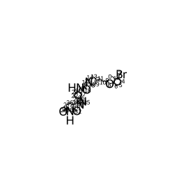 Cc1c(Br)cccc1OCCCC1CCN(CC(=O)Nc2ccc3c(C4CCC(=O)NC4=O)nn(C)c3c2)CC1